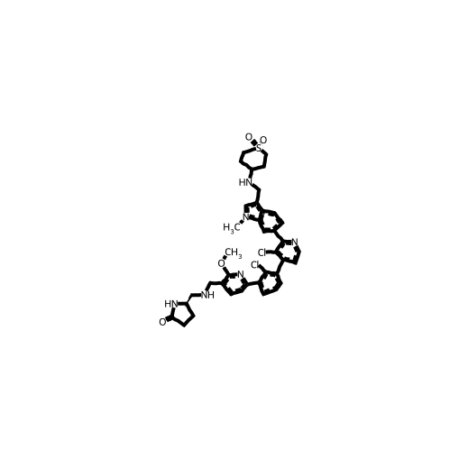 COc1nc(-c2cccc(-c3ccnc(-c4ccc5c(CNC6CCS(=O)(=O)CC6)cn(C)c5c4)c3Cl)c2Cl)ccc1CNC[C@H]1CCC(=O)N1